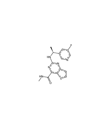 CNC(=O)c1nc(N[C@@H](C)c2cncc(F)c2)nc2ccsc12